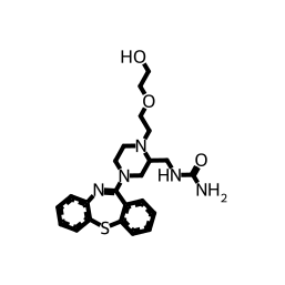 NC(=O)NCC1CN(C2=Nc3ccccc3Sc3ccccc32)CCN1CCOCCO